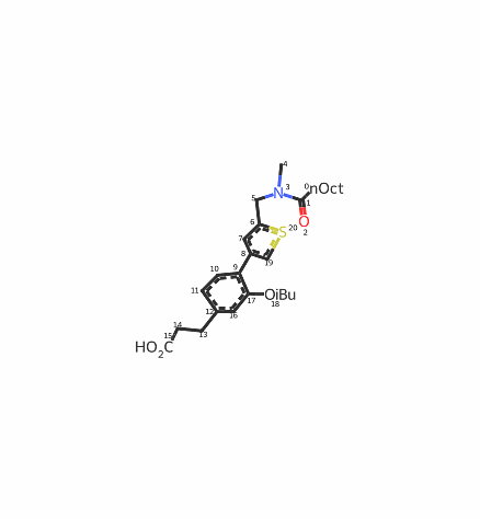 CCCCCCCCC(=O)N(C)Cc1cc(-c2ccc(CCC(=O)O)cc2OCC(C)C)cs1